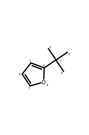 CC(C)(C)c1ccco1